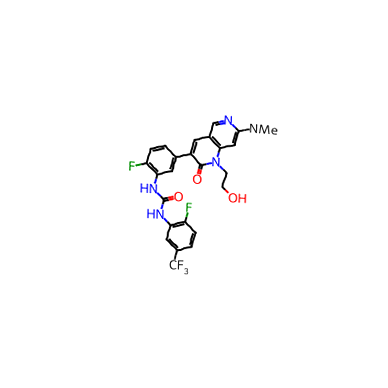 CNc1cc2c(cn1)cc(-c1ccc(F)c(NC(=O)Nc3cc(C(F)(F)F)ccc3F)c1)c(=O)n2CCO